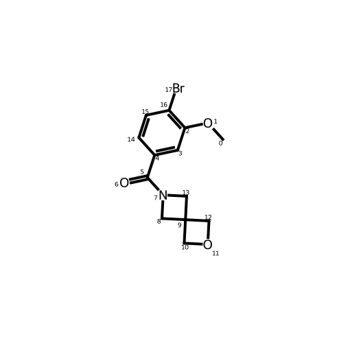 COc1cc(C(=O)N2CC3(COC3)C2)ccc1Br